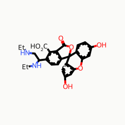 CCNCC(NCC)c1ccc2c(c1C(=O)O)C(=O)OC21c2ccc(O)cc2Oc2cc(O)ccc21